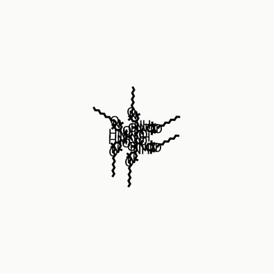 CCCCCCCCON1C(C)(C)CC(NC(=O)C(C(=O)NC2CC(C)(C)N(OCCCCCCCC)C(C)(C)C2)=C2NC(=C(C(=O)NC3CC(C)(C)N(OCCCCCCCC)C(C)(C)C3)C(=O)NC3CC(C)(C)N(OCCCCCCCC)C(C)(C)C3)NC(=C(C(=O)NC3CC(C)(C)N(OCCCCCCCC)C(C)(C)C3)C(=O)NC3CC(C)(C)N(OCCCCCCCC)C(C)(C)C3)N2)CC1(C)C